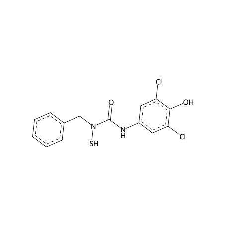 O=C(Nc1cc(Cl)c(O)c(Cl)c1)N(S)Cc1ccccc1